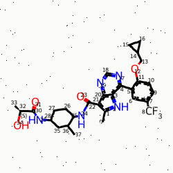 Cc1[nH]c2c(-c3cc(C(F)(F)F)ccc3OCC3CC3)ncnc2c1C(=O)NC1CCC(NC(=O)[C@H](C)O)CC1C